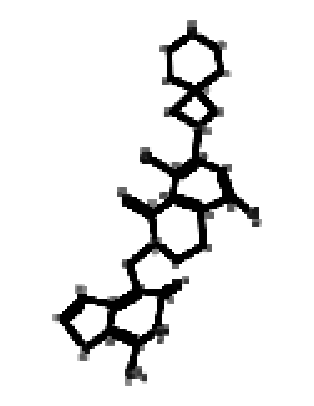 Cc1[nH]c(=O)c(CN2CCc3c(Cl)cc(N4CC5(CCOCC5)C4)c(Cl)c3C2=O)c2ncsc12